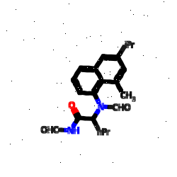 CCCC(C(=O)NC=O)N(C=O)c1cccc2cc(C(C)C)cc(C)c12